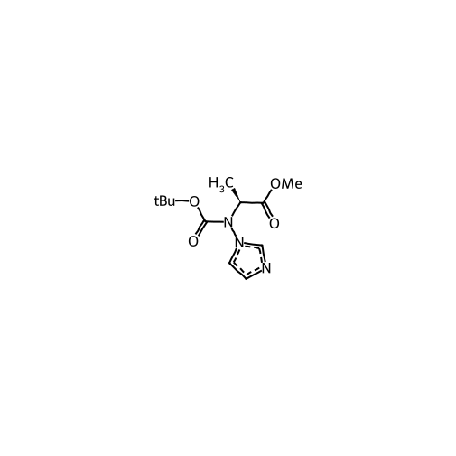 COC(=O)[C@H](C)N(C(=O)OC(C)(C)C)n1ccnc1